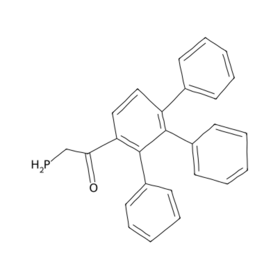 O=C(CP)c1ccc(-c2ccccc2)c(-c2ccccc2)c1-c1ccccc1